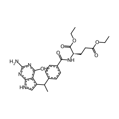 CCOC(=O)CC[C@@H](NC(=O)c1ccc(C(C)c2c[nH]c3nc(N)nc(O)c23)cc1)C(=O)OCC